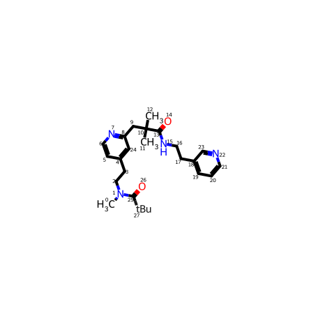 CN(CCc1ccnc(CC(C)(C)C(=O)NCCc2cccnc2)c1)C(=O)C(C)(C)C